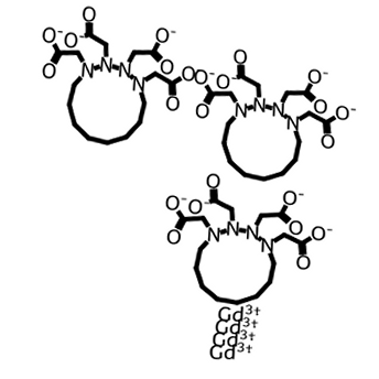 O=C([O-])CN1CCCCCCCCN(CC(=O)[O-])N(CC(=O)[O-])N1CC(=O)[O-].O=C([O-])CN1CCCCCCCCN(CC(=O)[O-])N(CC(=O)[O-])N1CC(=O)[O-].O=C([O-])CN1CCCCCCCCN(CC(=O)[O-])N(CC(=O)[O-])N1CC(=O)[O-].[Gd+3].[Gd+3].[Gd+3].[Gd+3]